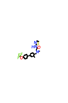 Cc1cc(-c2ccc(OC(F)(F)F)cc2)ccc1CN(C)CC(=O)Nc1nccs1